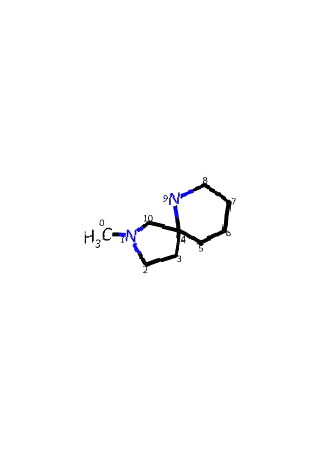 CN1CCC2(CCCC[N]2)C1